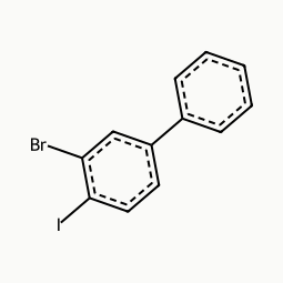 Brc1cc(-c2ccccc2)ccc1I